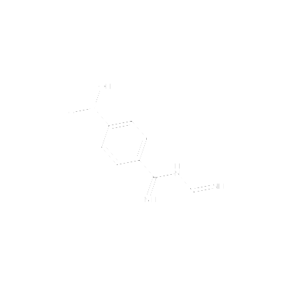 N=NNC(=N)c1ccc(B(O)O)cc1